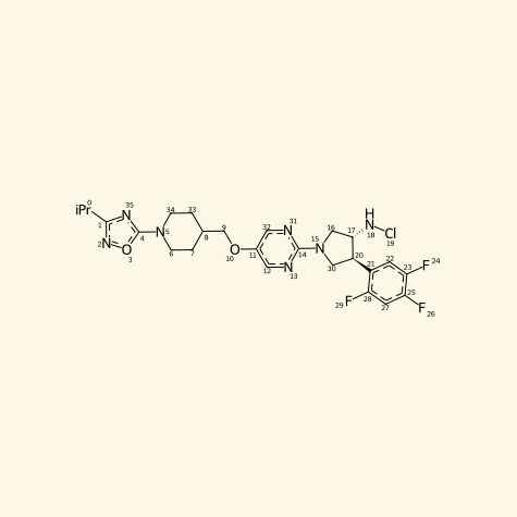 CC(C)c1noc(N2CCC(COc3cnc(N4C[C@H](NCl)[C@@H](c5cc(F)c(F)cc5F)C4)nc3)CC2)n1